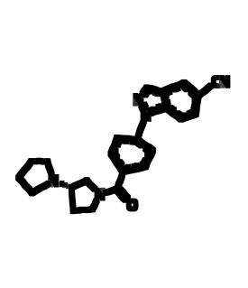 N#Cc1ccc2c(cnn2-c2ccc(C(=O)N3CC[C@H](N4CCCC4)C3)cc2)c1